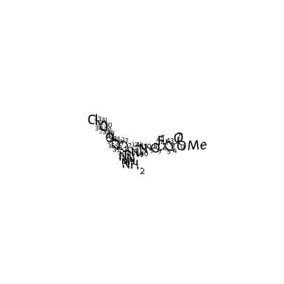 COC(=O)c1ccc(COCCN2CCN(c3nc(N)nc4c3CCc3cc(OCc5ccc(Cl)cc5)ccc3-4)CC2)c(F)c1